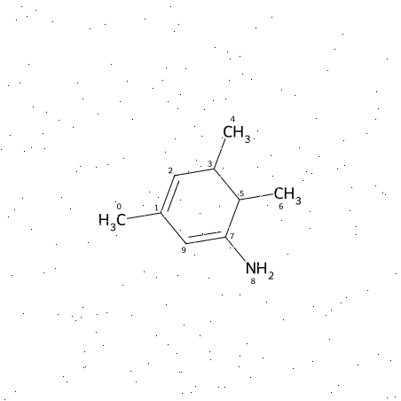 CC1=CC(C)C(C)C(N)=C1